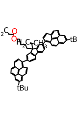 C=CC(=O)OCCCCC1(C(=C)C)c2cc(-c3ccc4ccc5cc(C(C)(C)C)cc6ccc3c4c56)ccc2-c2ccc(-c3ccc4ccc5cc(C(C)(C)C)cc6ccc3c4c56)cc21